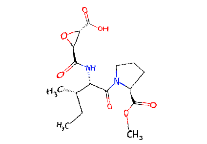 CC[C@H](C)[C@H](NC(=O)[C@H]1O[C@@H]1C(=O)O)C(=O)N1CCC[C@H]1C(=O)OC